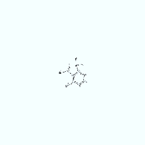 CC1(C)C=C(Br)c2c(Br)cccc21